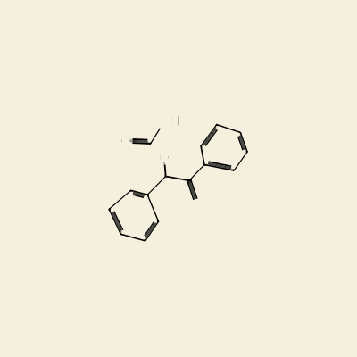 O=C(c1ccccc1)C(O)c1ccccc1.O=CO